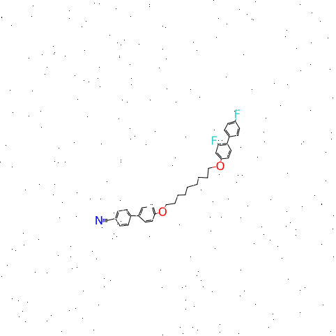 C=C(/C=C\C(=C/C)c1ccc(C#N)cc1)OCCCCCCCCCOc1ccc(-c2ccc(F)cc2)c(F)c1